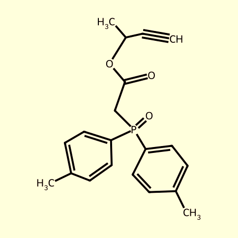 C#CC(C)OC(=O)CP(=O)(c1ccc(C)cc1)c1ccc(C)cc1